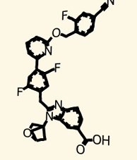 N#Cc1ccc(COc2cccc(-c3cc(F)c(Cc4nc5ccc(C(=O)O)cc5n4C45COC(C4)C5)cc3F)n2)c(F)c1